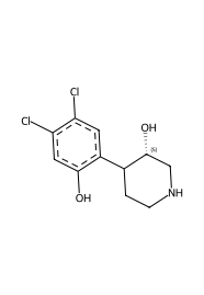 Oc1cc(Cl)c(Cl)cc1C1CCNC[C@H]1O